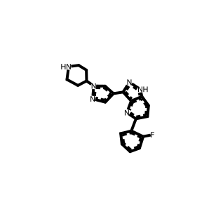 Fc1ccccc1-c1ccc2[nH]nc(-c3cnn(C4CCNCC4)c3)c2n1